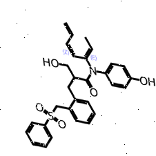 C=C/C=C\C(=C/C)N(C(=O)C(CO)Cc1ccccc1CS(=O)(=O)c1ccccc1)c1ccc(O)cc1